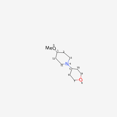 COC1CCN(C2CCOCC2)CC1